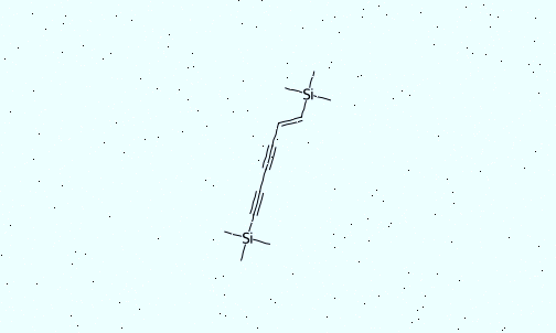 C[Si](C)(C)C#CC#CC=C[Si](C)(C)C